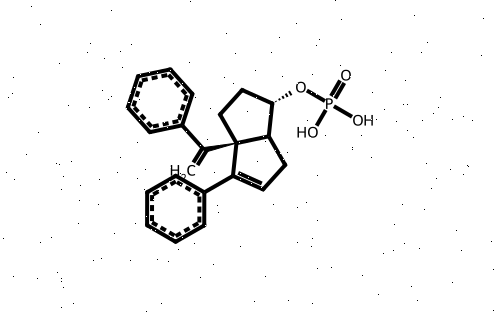 C=C(c1ccccc1)[C@@]12CC[C@H](OP(=O)(O)O)C1CC=C2c1ccccc1